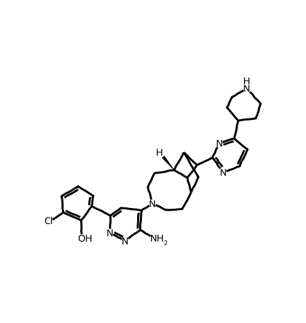 Nc1nnc(-c2cccc(Cl)c2O)cc1N1CCC2CC3C(c4nccc(C5CCNCC5)n4)C2[C@@H]3CC1